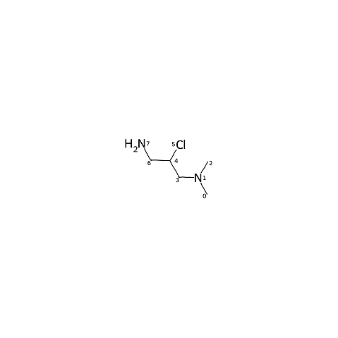 CN(C)CC(Cl)CN